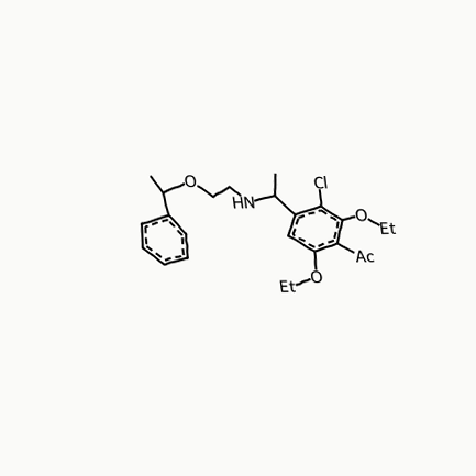 CCOc1cc(C(C)NCCOC(C)c2ccccc2)c(Cl)c(OCC)c1C(C)=O